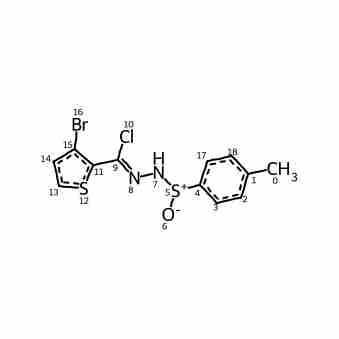 Cc1ccc([S+]([O-])N/N=C(\Cl)c2sccc2Br)cc1